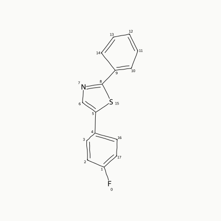 Fc1ccc(-c2cnc(-c3ccccc3)s2)cc1